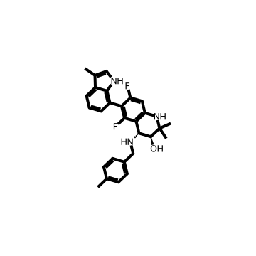 Cc1ccc(CN[C@@H]2c3c(cc(F)c(-c4cccc5c(C)c[nH]c45)c3F)NC(C)(C)[C@H]2O)cc1